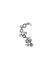 NC1CCN(C(=O)N2CCN(C(=O)c3ccc(Nc4nccn5c(-c6conc6C(F)(F)F)cnc45)cc3O)CC2)CC1